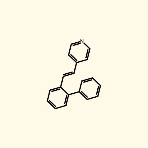 C(=Cc1ccccc1-c1ccccc1)c1ccncc1